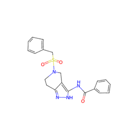 O=C(Nc1[nH]nc2c1CN(S(=O)(=O)Cc1ccccc1)CC2)c1ccccc1